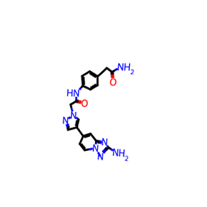 NC(=O)Cc1ccc(NC(=O)Cn2cc(-c3ccn4nc(N)nc4c3)cn2)cc1